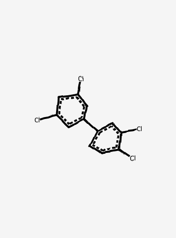 Clc1cc(Cl)cc(-c2ccc(Cl)c(Cl)c2)c1